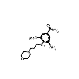 COc1cc(C(N)=O)cc(N)c1NCCCN1CCOCC1